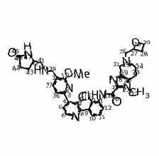 COc1nc(-c2ccnc(-c3cccc(NC(=O)c4nc5c(n4C)CCN(CC4CCO4)C5)c3Cl)c2Cl)ccc1CNCC1CCC(=O)N1